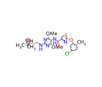 COc1nc(NCCO[Si](C)(C)C(C)(C)C)nc(OC)c1NC(=O)c1csc(Oc2cc(Cl)ccc2C)n1